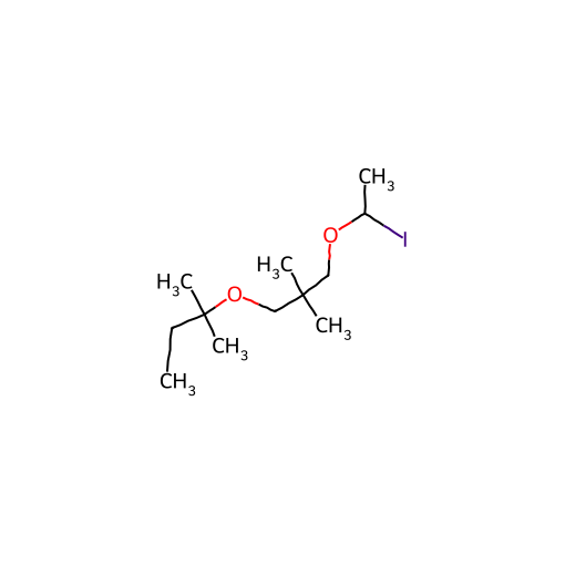 CCC(C)(C)OCC(C)(C)COC(C)I